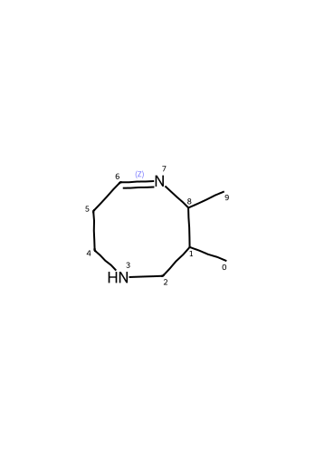 CC1CNCC/C=N\C1C